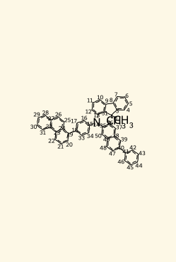 CC1(C)c2ccccc2-c2cccc(N(c3ccc(-c4cccc5c4ccc4ccccc45)cc3)c3ccc4cc(-c5ccccc5)ccc4c3)c21